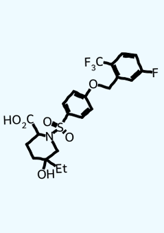 CCC1(O)CCC(C(=O)O)N(S(=O)(=O)c2ccc(OCc3cc(F)ccc3C(F)(F)F)cc2)C1